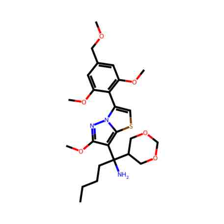 CCCCC(N)(c1c(OC)nn2c(-c3c(OC)cc(COC)cc3OC)csc12)C1COCOC1